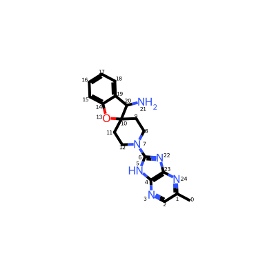 Cc1cnc2[nH]c(N3CCC4(CC3)Oc3ccccc3C4N)nc2n1